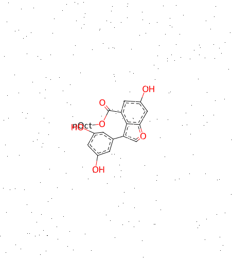 CCCCCCCCOC(=O)c1cc(O)cc2occ(-c3cc(O)cc(O)c3)c12